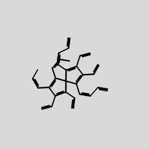 C=C/C=C\C1=C(C=C)C(C=C)=C(/C=C\C=C)C12C(C=C)=C(C=C)C(/C=C\C)=C2/C=C\C